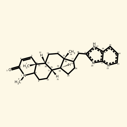 CN1C(=O)C=C[C@@]2(C)C1CC[C@@H]1[C@H]2CC[C@]2(C)C(Cc3nc4ncccc4[nH]3)CC[C@@H]12